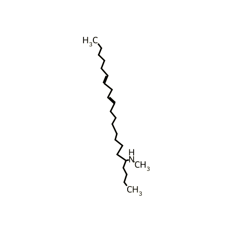 CCCCCC=CCC=CCCCCCCCC(CCCC)NC